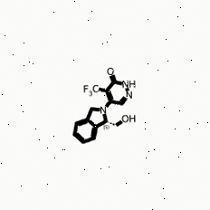 O=c1[nH]ncc(N2Cc3ccccc3[C@H]2CO)c1C(F)(F)F